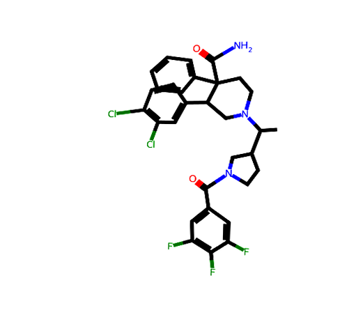 CC(C1CCN(C(=O)c2cc(F)c(F)c(F)c2)C1)N1CCC(C(N)=O)(c2ccccc2)C(c2ccc(Cl)c(Cl)c2)C1